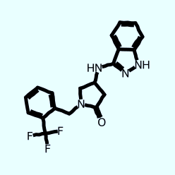 O=C1CC(Nc2n[nH]c3ccccc23)CN1Cc1ccccc1C(F)(F)F